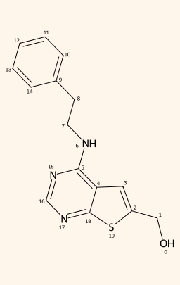 OCc1cc2c(NCCc3ccccc3)ncnc2s1